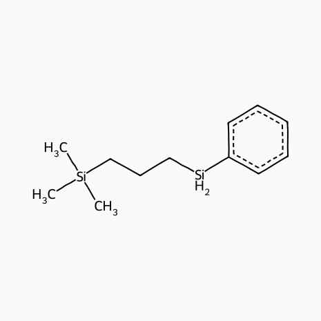 C[Si](C)(C)CCC[SiH2]c1ccccc1